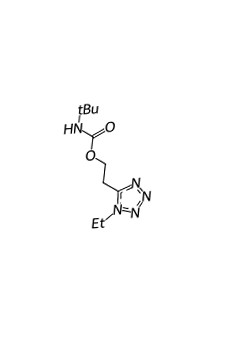 CCn1nnnc1CCOC(=O)NC(C)(C)C